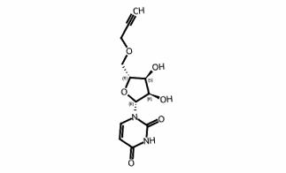 C#CCOC[C@H]1O[C@@H](n2ccc(=O)[nH]c2=O)[C@H](O)[C@@H]1O